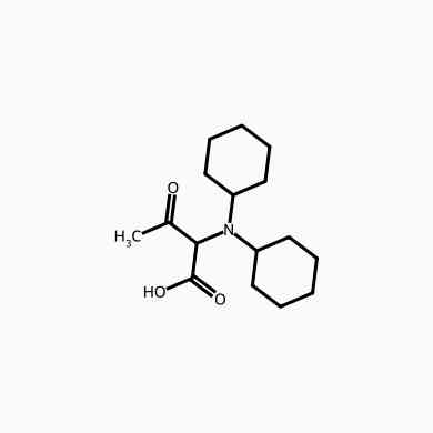 CC(=O)C(C(=O)O)N(C1CCCCC1)C1CCCCC1